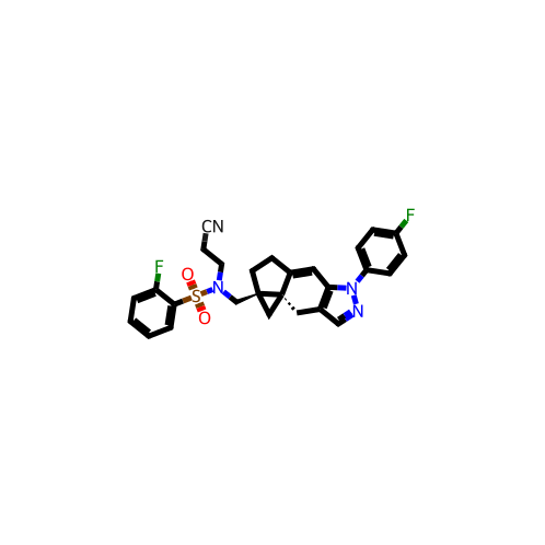 N#CCCN(C[C@@]12CCC3=Cc4c(cnn4-c4ccc(F)cc4)C[C@@]31C2)S(=O)(=O)c1ccccc1F